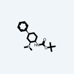 CN(C)[C@H]1C[C@@H](c2ccccc2)CC[C@@H]1NC(=O)OC(C)(C)C